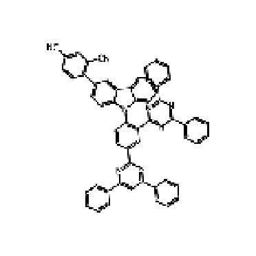 N#Cc1ccc(-c2ccc3c(c2)c2ccccc2n3-c2ccc(-c3nc(-c4ccccc4)cc(-c4ccccc4)n3)cc2-c2nc(-c3ccccc3)nc(-c3ccccc3)n2)c(C#N)c1